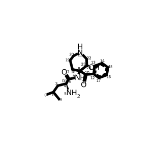 CC(C)C[C@H](N)C(=O)NC1(C(=O)c2ccccc2)CCCNCC1O